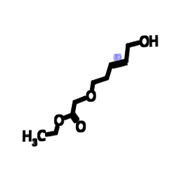 CCOC(=O)COCC/C=C/CO